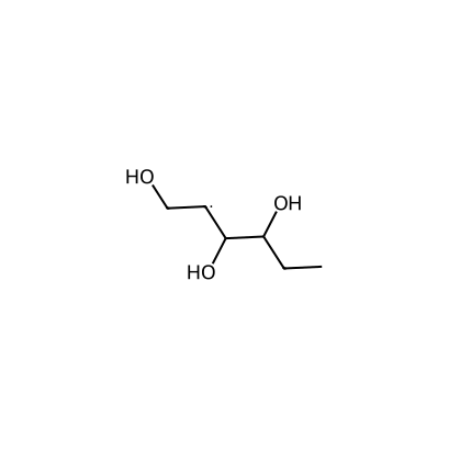 CCC(O)C(O)[CH]CO